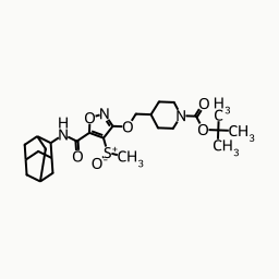 C[S+]([O-])c1c(OCC2CCN(C(=O)OC(C)(C)C)CC2)noc1C(=O)NC1C2CC3CC(C2)CC1C3